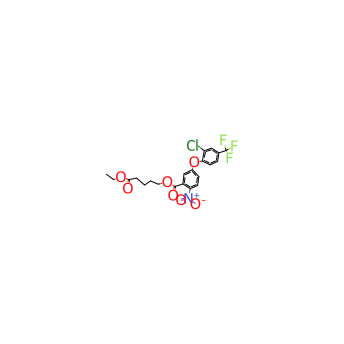 CCOC(=O)CCCCOC(=O)c1cc(Oc2ccc(C(F)(F)F)cc2Cl)ccc1[N+](=O)[O-]